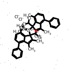 CC1=C(C)[C](C(Cl)Cl)([Zr+2](=[Si](C)C)[C]2(C(Cl)Cl)C(C)=C(C)c3c(-c4ccccc4)ccc(C)c32)c2c(C)ccc(-c3ccccc3)c21.[Cl-].[Cl-]